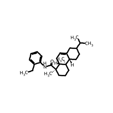 CCc1ccccc1NC(=O)[C@]1(C)CCC[C@@]2(C)[C@H]1CC=C1CC(C(C)C)CC[C@@H]12